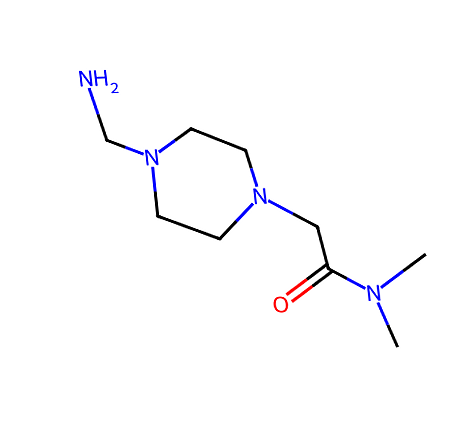 CN(C)C(=O)CN1CCN(CN)CC1